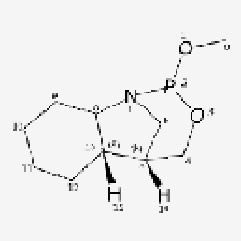 COP1OC[C@H]2CN1C1CCCC[C@H]12